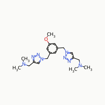 COc1cc(Cn2cc(CN(C)C)nn2)cc(Cn2cc(CN(C)C)nn2)c1